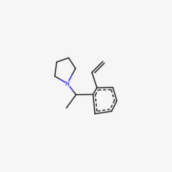 C=Cc1ccccc1C(C)N1CCCC1